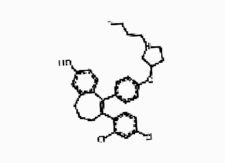 Oc1ccc2c(c1)CCCC(c1ccc(Cl)cc1Cl)=C2c1ccc(OC2CCN(CCCF)C2)cc1